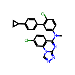 CN(c1ccc(Cl)c(-c2ccc(C3CC3)cc2)c1)c1nc2nncn2c2cc(Cl)ccc12